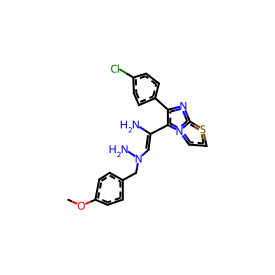 COc1ccc(CN(N)/C=C(\N)c2c(-c3ccc(Cl)cc3)nc3sccn23)cc1